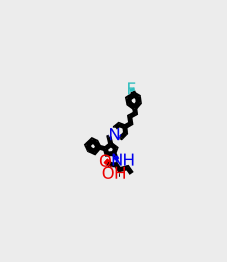 CC[C@H](C)[C@H](NC1CC(CN2CCC(CCCc3ccc(F)cc3)CC2)C(c2ccccc2)C1)C(=O)O